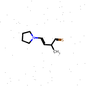 CC(C=S)C=CN1CCCC1